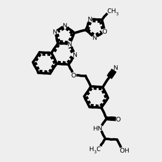 Cc1nc(-c2nnc3c4ccccc4c(OCc4ccc(C(=O)NC(C)CO)cc4C#N)nn23)no1